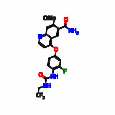 COc1cc2nccc(Oc3ccc(NC(=O)NCC(F)(F)F)c(F)c3)c2cc1C(N)=O